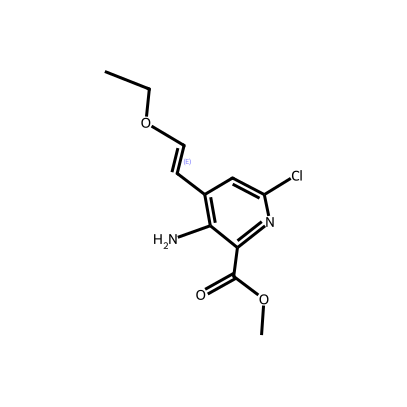 CCO/C=C/c1cc(Cl)nc(C(=O)OC)c1N